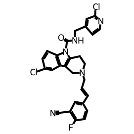 N#Cc1cc(/C=C/CN2CCc3c(c4cc(Cl)ccc4n3C(=O)NCc3ccnc(Cl)c3)C2)ccc1F